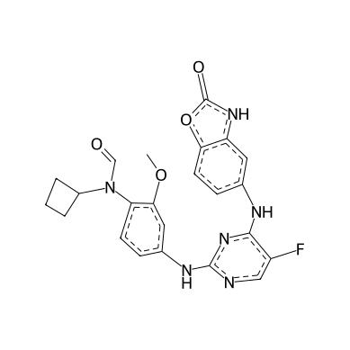 COc1cc(Nc2ncc(F)c(Nc3ccc4oc(=O)[nH]c4c3)n2)ccc1N(C=O)C1CCC1